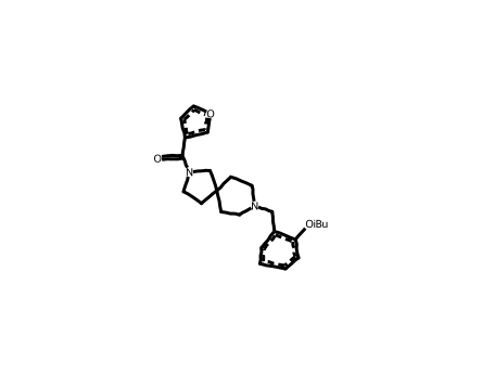 CC(C)COc1ccccc1CN1CCC2(CC1)CCN(C(=O)c1ccoc1)C2